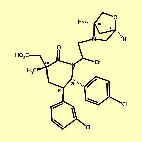 CCC(CN1C[C@H]2C[C@@H]1CO2)N1C(=O)[C@@](C)(CC(=O)O)C[C@H](c2cccc(Cl)c2)[C@H]1c1ccc(Cl)cc1